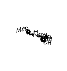 COc1ccc(CCCNC[C@H](O)c2ccc(O)c3[nH]c(=O)ccc23)cc1